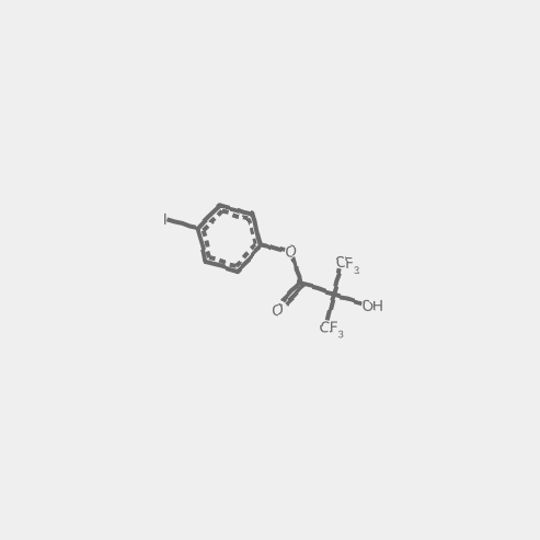 O=C(Oc1ccc(I)cc1)C(O)(C(F)(F)F)C(F)(F)F